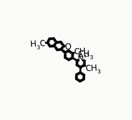 Cc1ccc2cc3oc4c(C)c(-c5cc(-c6ccccc6)c(C)c[n+]5C)ccc4c3cc2c1